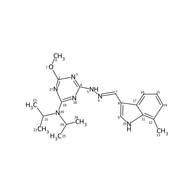 COc1nc(NN=Cc2c[nH]c3c(C)cccc23)nc(N(C(C)C)C(C)C)n1